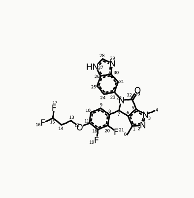 Cc1nn(C)c2c1C(c1ccc(OCCC(F)F)c(F)c1F)N(c1ccc3[nH]cnc3c1)C2=O